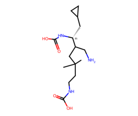 CC(C)(CCNC(=O)O)CC(CN)[C@@H](CC1CC1)NC(=O)O